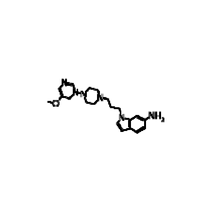 COC1=CN=CN(N2CCN(CCCn3ccc4ccc(N)cc43)CC2)C1